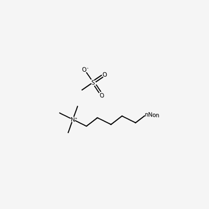 CCCCCCCCCCCCCC[N+](C)(C)C.CS(=O)(=O)[O-]